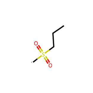 [CH2]S(=O)(=O)CCC